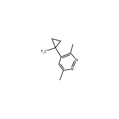 Cc1cc(C2(C(F)(F)F)CC2)c(C)nn1